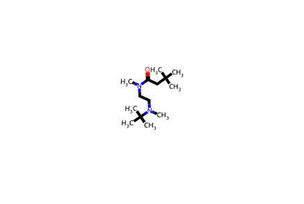 CN(CCN(C)C(C)(C)C)C(=O)CC(C)(C)C